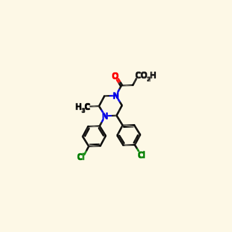 CC1CN(C(=O)CC(=O)O)CC(c2ccc(Cl)cc2)N1c1ccc(Cl)cc1